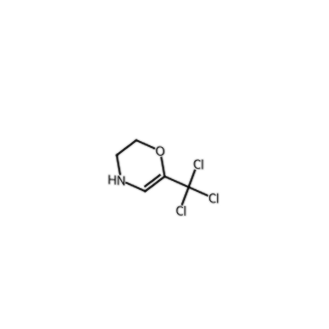 ClC(Cl)(Cl)C1=CNCCO1